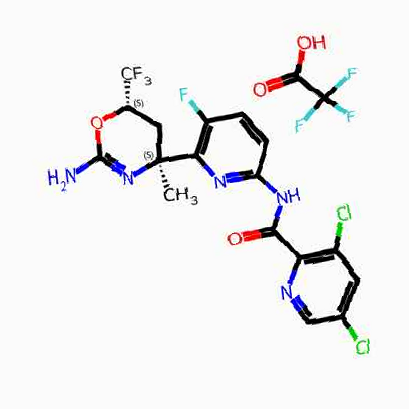 C[C@@]1(c2nc(NC(=O)c3ncc(Cl)cc3Cl)ccc2F)C[C@@H](C(F)(F)F)OC(N)=N1.O=C(O)C(F)(F)F